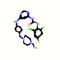 CCN1CCN(Cc2ccc(Nc3cc(NC(=O)Nc4c(Cl)cc(Cl)cc4Cl)ncn3)cc2)CC1